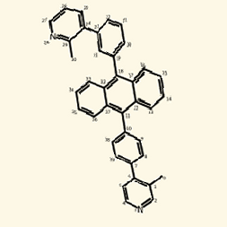 Cc1cnccc1-c1ccc(-c2c3ccccc3c(-c3cccc(-c4cccnc4C)c3)c3ccccc23)cc1